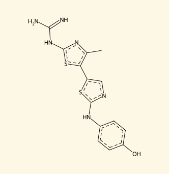 Cc1nc(NC(=N)N)sc1-c1cnc(Nc2ccc(O)cc2)s1